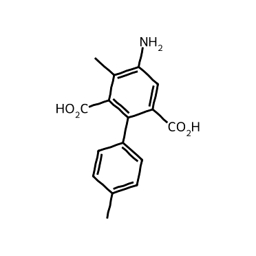 Cc1ccc(-c2c(C(=O)O)cc(N)c(C)c2C(=O)O)cc1